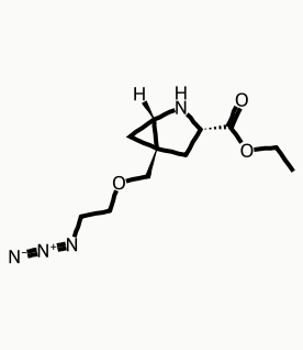 CCOC(=O)[C@@H]1C[C@]2(COCCN=[N+]=[N-])C[C@@H]2N1